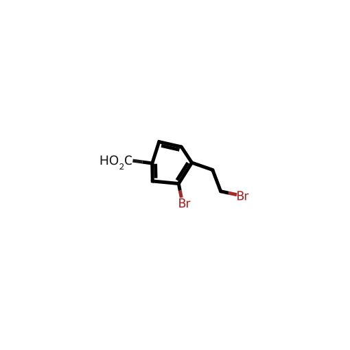 O=C(O)c1ccc(CCBr)c(Br)c1